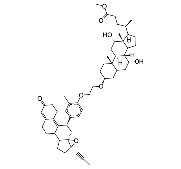 CC#C[C@]12CCC3C4CCC5=CC(=O)CCC5=C4[C@@H](c4ccc(OCCO[C@H]5CC[C@@]6(C)C(C5)C[C@@H](O)[C@H]5[C@@H]7CCC([C@H](C)CCC(=O)OC)[C@@]7(C)[C@@H](O)C[C@@H]56)c(C)c4)C[C@@]31O2